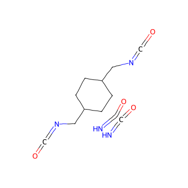 N=C=O.N=C=O.O=C=NCC1CCC(CN=C=O)CC1